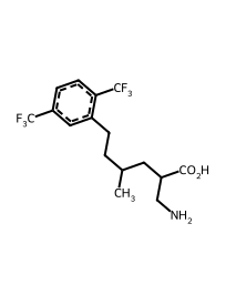 CC(CCc1cc(C(F)(F)F)ccc1C(F)(F)F)CC(CN)C(=O)O